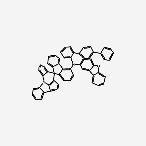 c1ccc(-c2ccc(-c3ccccc3N(c3ccc4oc5ccccc5c4c3)c3cccc4c3-c3ccccc3C43c4ccccc4-n4c5ccccc5c5cccc3c54)cc2)cc1